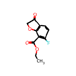 CCOC(=O)c1c(F)ccc2c1OCC2=O